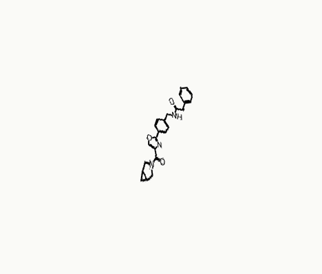 O=C(Cc1ccccc1)NCc1ccc(-c2nc(C(=O)N3CC4CC4C3)co2)cc1